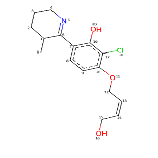 CC1CCCN=C1c1ccc(OC/C=C\CO)c(Cl)c1O